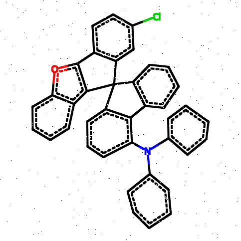 Clc1ccc2c(c1)C1(c3ccccc3-c3c(N(c4ccccc4)c4ccccc4)cccc31)c1c-2oc2ccccc12